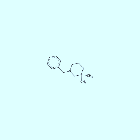 CC1(C)CN(Cc2ccccc2)CCS1